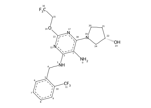 Nc1c(NCc2ccccc2C(F)(F)F)nc(OCC(F)(F)F)nc1N1CC[C@H](O)C1